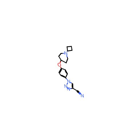 N#Cc1cn(-c2ccc(OC3CCN(C4CCC4)CC3)cc2)nn1